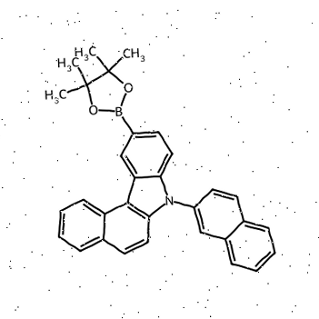 CC1(C)OB(c2ccc3c(c2)c2c4ccccc4ccc2n3-c2ccc3ccccc3c2)OC1(C)C